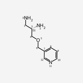 NC[C@H](N)COCc1cccnc1